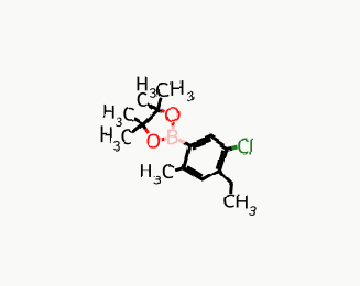 CCc1cc(C)c(B2OC(C)(C)C(C)(C)O2)cc1Cl